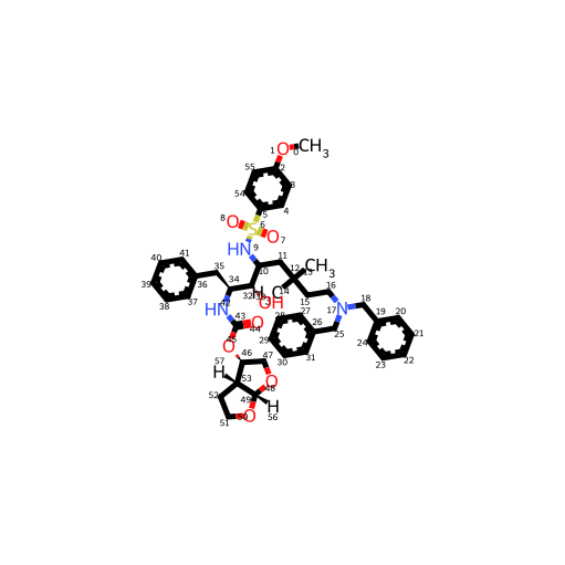 COc1ccc(S(=O)(=O)NC(CC(C)(C)CCN(Cc2ccccc2)Cc2ccccc2)[C@H](O)[C@H](Cc2ccccc2)NC(=O)O[C@@H]2CO[C@@H]3OCC[C@@H]32)cc1